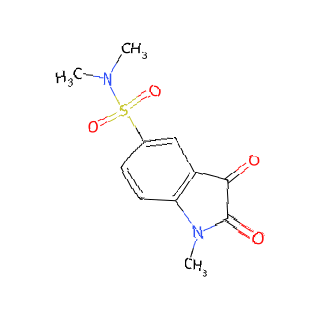 CN1C(=O)C(=O)c2cc(S(=O)(=O)N(C)C)ccc21